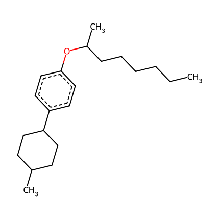 CCCCCCC(C)Oc1ccc(C2CCC(C)CC2)cc1